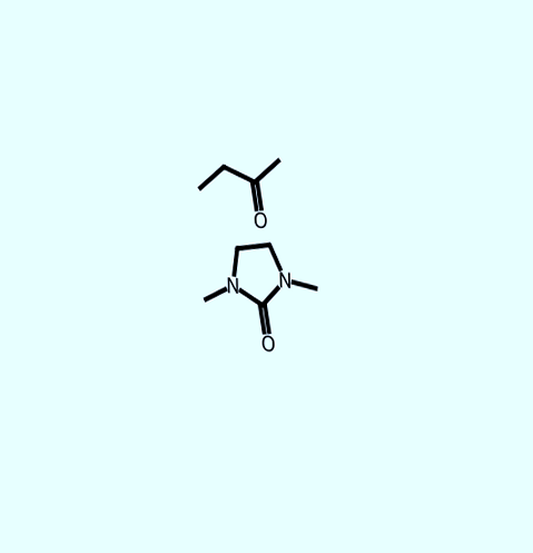 CCC(C)=O.CN1CCN(C)C1=O